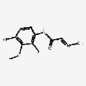 COc1c(Cl)ccc(NC(=O)C=NO)c1F